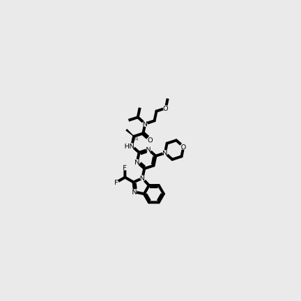 COCCN(C(=O)[C@H](C)Nc1nc(N2CCOCC2)cc(-n2c(C(F)F)nc3ccccc32)n1)C(C)C